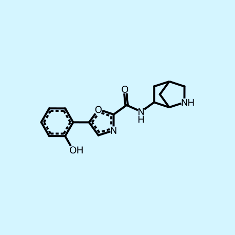 O=C(NC1CC2CNC1C2)c1ncc(-c2ccccc2O)o1